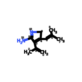 C=C(C)C1=C(C=C(C)C)CN=C1N